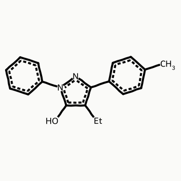 CCc1c(-c2ccc(C)cc2)nn(-c2ccccc2)c1O